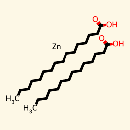 CCCCCCCCCCCCCC(=O)O.CCCCCCCCCCCCCCCC(=O)O.[Zn]